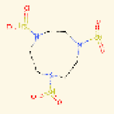 O=[SH](=O)N1CCN([SH](=O)=O)CCN([SH](=O)=O)CC1